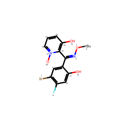 CC(C)(C)O/N=C(/c1cc(Br)c(F)cc1O)c1c(O)ccc[n+]1[O-]